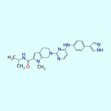 CC(C)NC(=O)c1cc2c(n1C)CN(c1nccc(Nc3ccc(-c4cn[nH]c4)cc3)n1)CC2